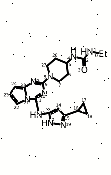 CCNC(=O)NC1CCN(c2nc(Nc3cc(C4CC4)n[nH]3)n3cccc3n2)CC1